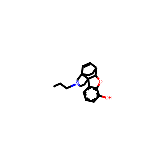 CCCN1CCC23c4cccc(O)c4OC2C2C=CC3(CC2)C1